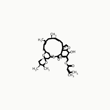 CC(C)=CC(=O)OCC1=C[C@H]2C(=O)O[C@H]3C[C@@H](C/C=C(/C)C[C@@H](C)/C=C\CC4COC([C@@H]42)[C@@H]1O)O[C@@]1(CC[C@H](C)C(C)O1)C3